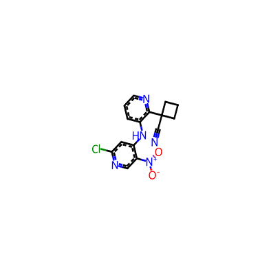 N#CC1(c2ncccc2Nc2cc(Cl)ncc2[N+](=O)[O-])CCC1